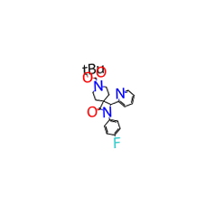 CC(C)(C)OC(=O)N1CCC2(CC1)C(=O)N(c1ccc(F)cc1)C2c1ccccn1